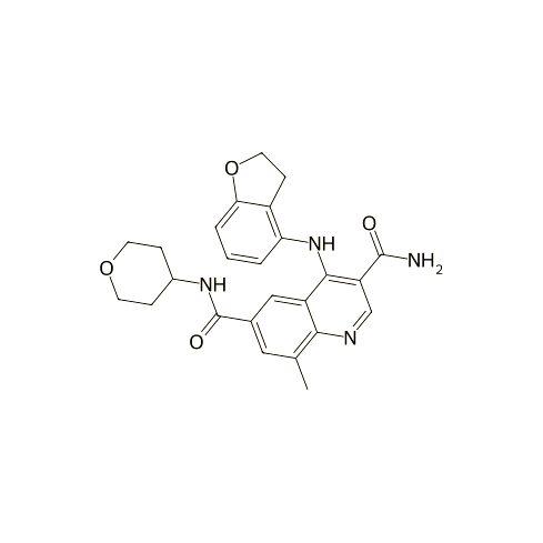 Cc1cc(C(=O)NC2CCOCC2)cc2c(Nc3cccc4c3CCO4)c(C(N)=O)cnc12